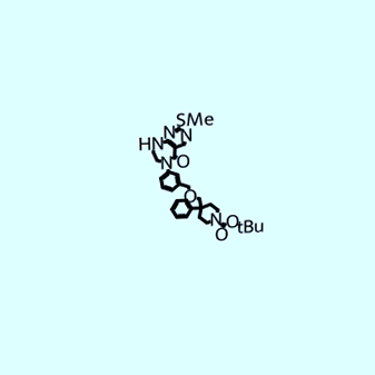 CSc1ncc2c(n1)NCCN(c1cccc(COCC3(c4ccccc4)CCN(C(=O)OC(C)(C)C)CC3)c1)C2=O